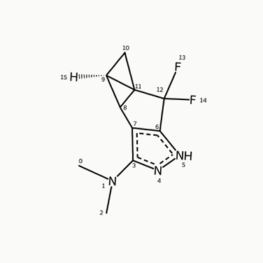 CN(C)c1n[nH]c2c1C1[C@H]3CC13C2(F)F